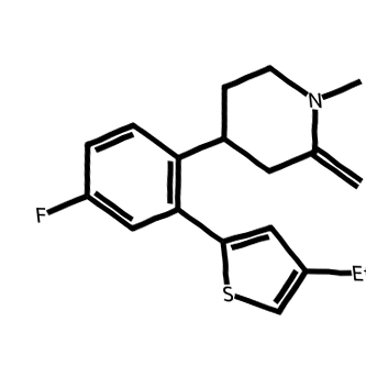 C=C1CC(c2ccc(F)cc2-c2cc(CC)cs2)CCN1C